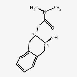 CN(C)C(=O)C[C@H]1Cc2ccccc2C[C@@H]1O